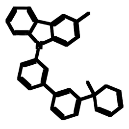 Cc1ccc2c(c1)c1ccccc1n2-c1cccc(-c2cccc(C3(C)C=CC=CC3)c2)c1